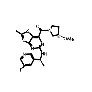 CO[C@H]1CCN(C(=O)c2nc(N[C@@H](C)c3cncc(F)c3)nc3nc(C)sc23)C1